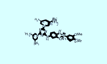 COc1ccc(S(=O)(=O)Nc2ccc(Nc3nc(N4C[C@H](N)C[C@H](N)C4)nc(N4C[C@H](N)C[C@H](N)C4)n3)cc2O)cc1OC